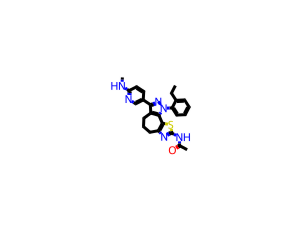 CCc1ccccc1-n1nc(-c2ccc(NC)nc2)c2c1-c1sc(NC(C)=O)nc1CCC2